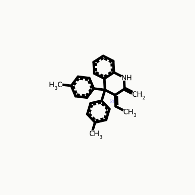 C=C1Nc2ccccc2C(c2ccc(C)cc2)(c2ccc(C)cc2)/C1=C/C